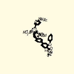 CC(=O)Nc1ccc([C@@H](CN(CCc2ccc(-c3ccc(C(=O)NS(C)(=O)=O)c(OC4CCCCC4)c3)cc2)C(=O)O)O[Si](C)(C)C(C)(C)C)cn1